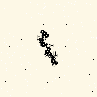 CC(O)(CC1CCc2c1cc1c(c2NC(=O)NS(=O)(=O)c2ccc3c(c2)OCO3)CCC1)c1ccnc(S(=O)(=O)NC(=O)Nc2c3c(cc4c2CCC4)CCC3)c1